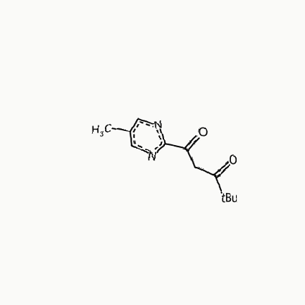 Cc1cnc(C(=O)CC(=O)C(C)(C)C)nc1